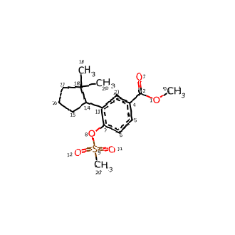 COC(=O)c1ccc(OS(C)(=O)=O)c(C2CCCC2(C)C)c1